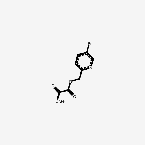 COC(=O)C(=O)NCc1ccc(Br)cn1